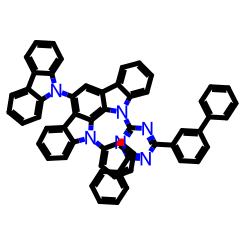 c1ccc(-c2cccc(-c3nc(-c4ccccc4)nc(-n4c5ccccc5c5cc(-n6c7ccccc7c7ccccc76)c6c7ccccc7n(-c7ccccc7)c6c54)n3)c2)cc1